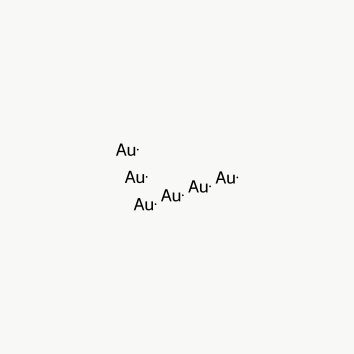 [Au].[Au].[Au].[Au].[Au].[Au]